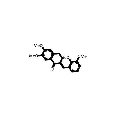 COc1cc2c(cc1OC)C(=O)C(=Cc1cccc(OC)c1OC)CC2